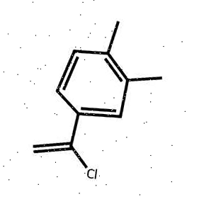 C=C(Cl)c1ccc(C)c(C)c1